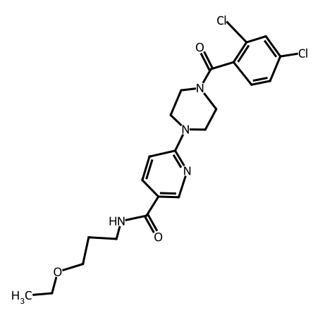 CCOCCCNC(=O)c1ccc(N2CCN(C(=O)c3ccc(Cl)cc3Cl)CC2)nc1